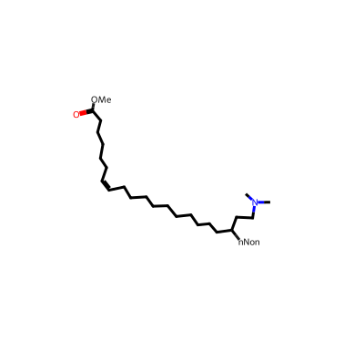 CCCCCCCCCC(CCCCCCCCCC/C=C\CCCCCC(=O)OC)CCN(C)C